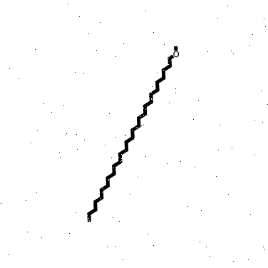 CCCCCCCCCCCCCCCC[CH]CCCCCCCCCCCOC